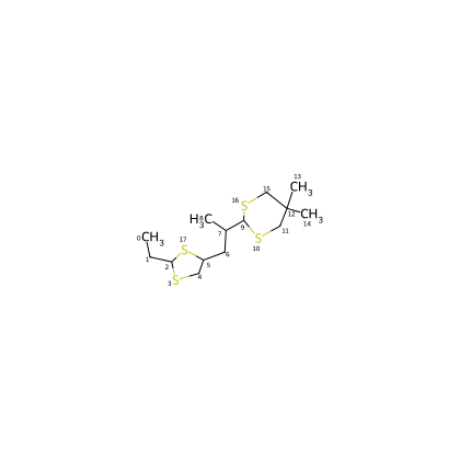 CCC1SCC(CC(C)C2SCC(C)(C)CS2)S1